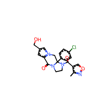 Cc1nocc1C(=O)N1CCN2C(=O)c3cc(CO)cn3CC12c1ccc(Cl)cc1